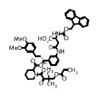 C=CC(=O)OCC(C)(C)C(=O)C(=O)N1CCCCC1C(=O)O[C@H](CCc1ccc(OC)c(OC)c1)c1cccc(NC(=O)CC(NC(=O)OCC2c3ccccc3-c3ccccc32)C(=O)O)c1